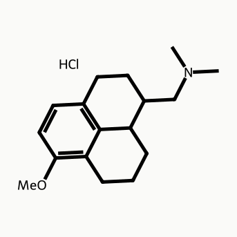 COc1ccc2c3c1CCCC3C(CN(C)C)CC2.Cl